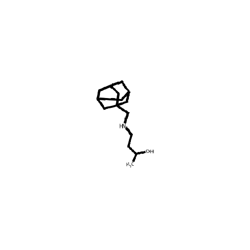 CC(O)CCNCC12CC3CC(CC(C3)C1)C2